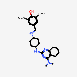 COc1cc(CN[C@H]2CC[C@@H](Nc3nc4c(c(N(C)C)n3)CCCC4)CC2)cc(OC)c1O